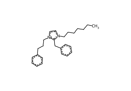 CCCCCCCn1cc[n+](CCCc2ccccc2)c1Cc1ccccc1